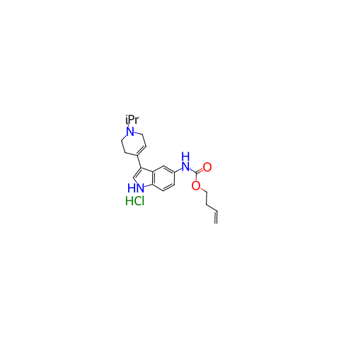 C=CCCOC(=O)Nc1ccc2[nH]cc(C3=CCN(C(C)C)CC3)c2c1.Cl